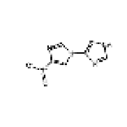 O=[N+]([O-])c1cn(-c2c[nH]cn2)cn1